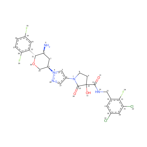 N[C@H]1C[C@@H](n2cc(N3CCC(O)(C(=O)NCc4cc(Cl)cc(Cl)c4F)C3=O)cn2)CO[C@@H]1c1cc(F)ccc1F